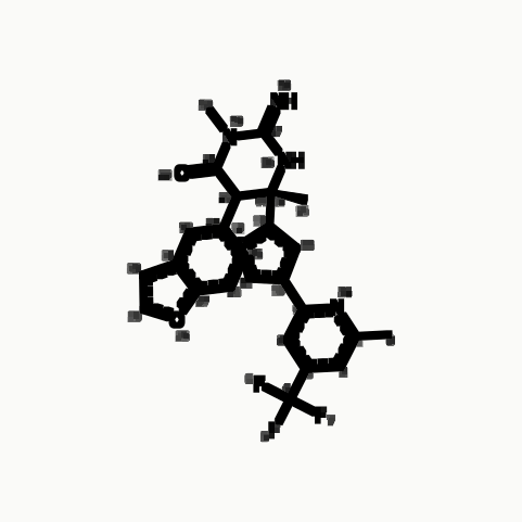 Cc1cc(C(F)(F)F)cc(-c2csc([C@@]3(C)NC(=N)N(C)C(=O)C3c3ccc4occc4c3)c2)n1